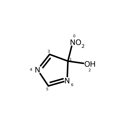 O=[N+]([O-])C1(O)C=NC=N1